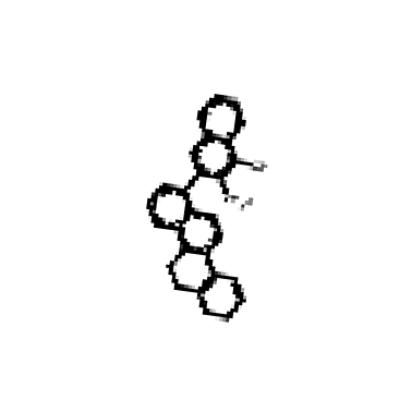 O=C(O)c1c(-c2cccc3c4c(ccc23)C2=C(CCC=C2)CC4)cc2ccccc2c1O